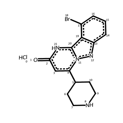 Cl.O=c1cc(C2CCNCC2)n2nc3cccc(Br)c3c2[nH]1